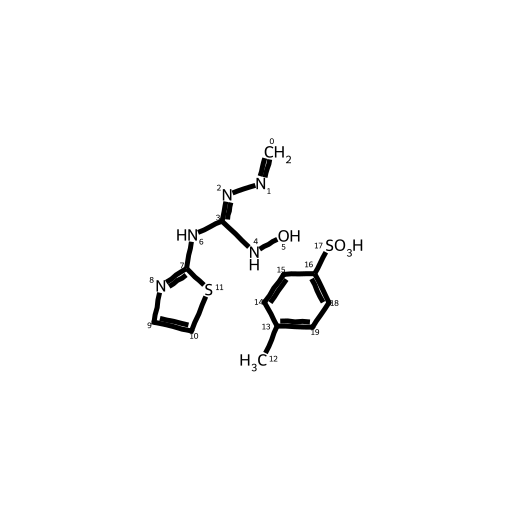 C=NN=C(NO)Nc1nccs1.Cc1ccc(S(=O)(=O)O)cc1